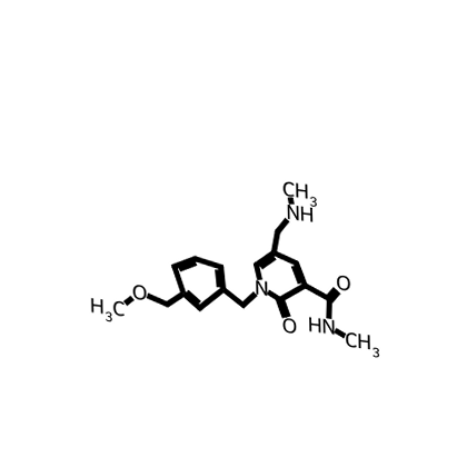 CNCc1cc(C(=O)NC)c(=O)n(Cc2cccc(COC)c2)c1